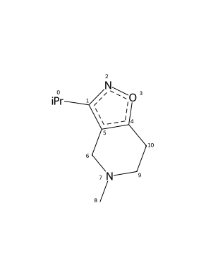 CC(C)c1noc2c1CN(C)CC2